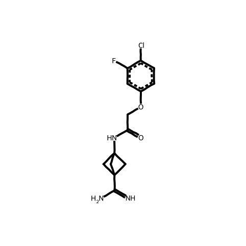 N=C(N)C12CC(NC(=O)COc3ccc(Cl)c(F)c3)(C1)C2